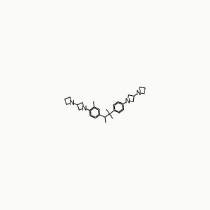 Cc1cc(C(C)C(C)(C)c2ccc(N3CC(N4CCC4)C3)cc2)ccc1N1CC(N2CCC2)C1